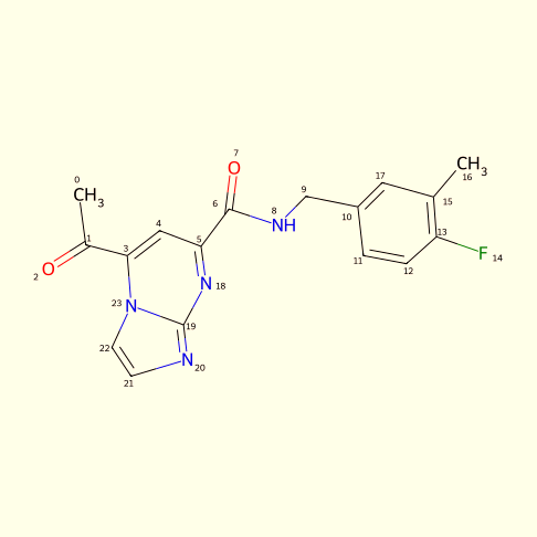 CC(=O)c1cc(C(=O)NCc2ccc(F)c(C)c2)nc2nccn12